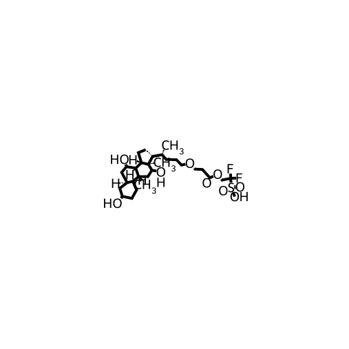 C[C@H](CCCOCCC(=O)OCC(F)(F)S(=O)(=O)O)[C@H]1CC[C@H]2[C@@H]3C(O)C[C@@H]4CC(O)CC[C@]4(C)[C@H]3CC(O)[C@]12C